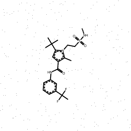 CNS(=O)(=O)CCn1c(C(C)(C)C)cc(C(=O)Nc2cccc(C(C)(F)F)c2)c1C